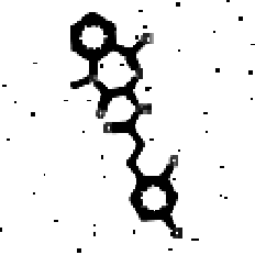 CN1C(=O)C(NC(=O)CCc2ccc(Cl)cc2Cl)N=C(Cl)c2ccccc21